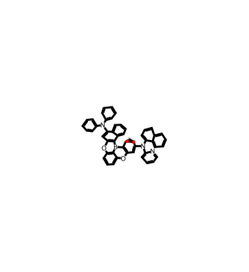 c1ccc(N(c2ccccc2)c2cc3c(c4ccccc24)B2c4c(cccc4Oc4cc(N(c5ccccn5)c5cccc6ccccc56)c5ccccc5c42)O3)cc1